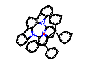 c1ccc(B(c2ccccc2)c2cccc(-n3c4ccccc4c4ccc5c6ccccc6n(-c6cccc(B(c7ccccc7)c7ccccc7)n6)c5c43)n2)cc1